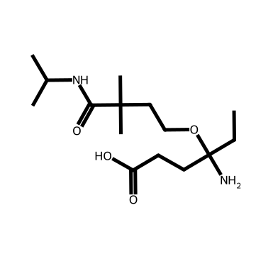 CCC(N)(CCC(=O)O)OCCC(C)(C)C(=O)NC(C)C